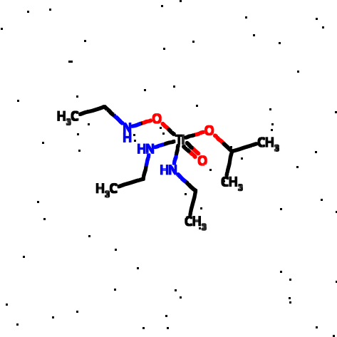 CCN[O][Ti](=[O])([NH]CC)([NH]CC)[O]C(C)C